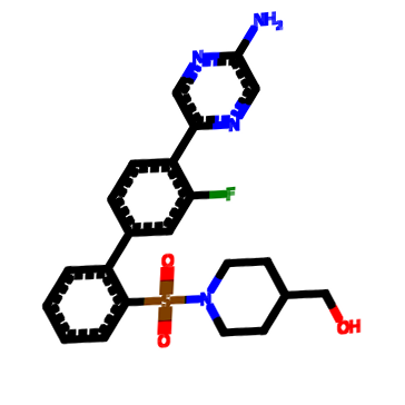 Nc1cnc(-c2ccc(-c3ccccc3S(=O)(=O)N3CCC(CO)CC3)cc2F)cn1